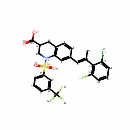 C/C(=C\c1ccc2c(c1)N(S(=O)(=O)c1cccc(C(F)(F)F)c1)CC(C(=O)O)C2)c1c(F)cccc1Cl